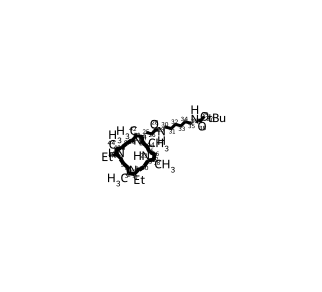 CCC1=C(C)c2cc3[nH]c(cc4nc(c(C)c5cc(C)c(cc1n2)[nH]5)[C@@H](CCC(=O)NCCCCCCNC(=O)OC(C)(C)C)[C@@H]4C)c(C)c3CC